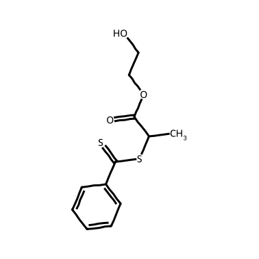 CC(SC(=S)c1ccccc1)C(=O)OCCO